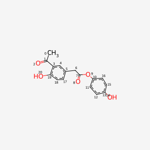 CC(=O)c1cc(CC(=O)Oc2ccc(O)cc2)ccc1O